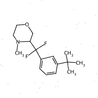 CN1CCOCC1C(F)(F)c1cccc(C(C)(C)C)c1